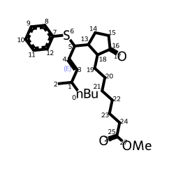 CCCCC(C)/C=C/C(Sc1ccccc1)C1CCC(=O)C1CCCCCCC(=O)OC